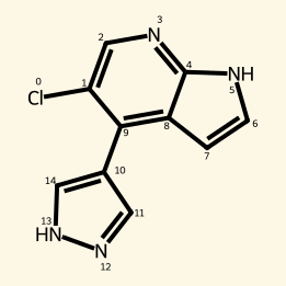 Clc1cnc2[nH]ccc2c1-c1cn[nH]c1